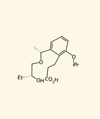 CC[C@@H](O)CO[C@H](C)c1cccc(OC(C)C)c1CCC(=O)O